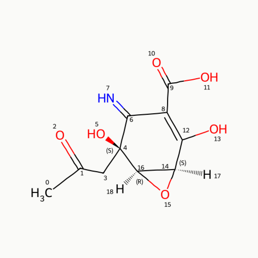 CC(=O)C[C@]1(O)C(=N)C(C(=O)O)=C(O)[C@H]2O[C@H]21